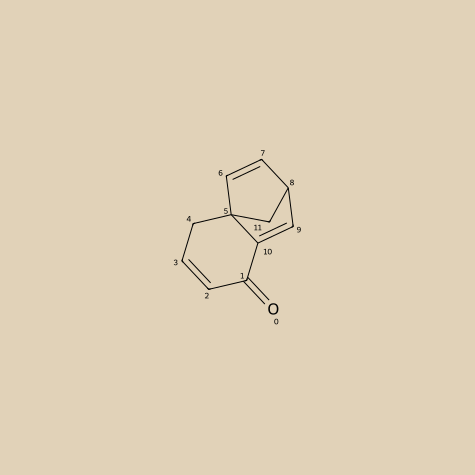 O=C1C=CCC23C=CC(C=C12)C3